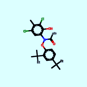 CCCC(=O)N(Oc1ccc(C(C)(C)CC)cc1C(C)(C)CC)c1cc(Cl)c(C)c(Cl)c1O